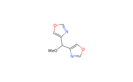 COC(c1cocn1)c1cocn1